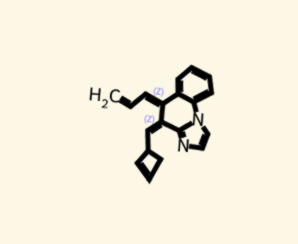 C=C/C=c1\c(=C\C2C=CC2)c2nccn2c2ccccc12